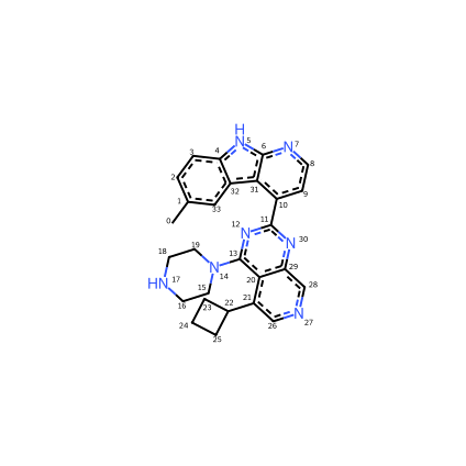 Cc1ccc2[nH]c3nccc(-c4nc(N5CCNCC5)c5c(C6CCC6)cncc5n4)c3c2c1